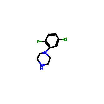 Fc1ccc(Cl)cc1N1CCNCC1